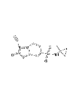 C#Cn1c(=O)n(C)c2cc(S(=O)(=O)NC3(C)CC3)ccc21